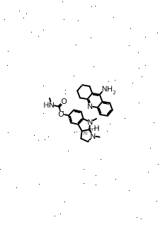 CNC(=O)Oc1ccc2c(c1)[C@]1(C)CCN(C)[C@@H]1N2C.Nc1c2c(nc3ccccc13)CCCC2